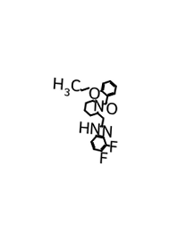 CCCOc1ccccc1C(=O)N1CCCCC1Cc1nc2c(F)c(F)ccc2[nH]1